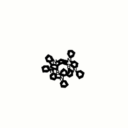 C1=CC2=C3N(c4ccccc4)c4cccc5c4B2C2C4c6cc7c(cc6N6c8ccccc8C(CC2N5c2ccccc2)C46)N(c2ccccc2)c2cccc4c2B7C2=C(C=CC3(C1)C2)N4c1ccccc1